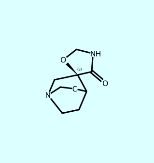 O=C1NCO[C@@]12CN1CCC2CC1